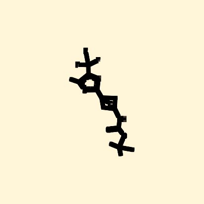 Cc1sc(C23CC(NC(=O)OC(C)(C)C)(C2)C3)nc1C(F)(F)F